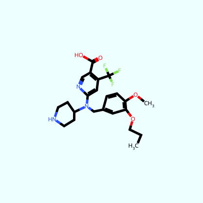 CCCOc1cc(CN(c2cc(C(F)(F)F)c(C(=O)O)cn2)C2CCNCC2)ccc1OC